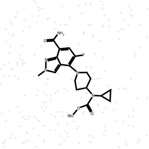 Cn1cc2c(N3CCC(N(C(=O)OC(C)(C)C)C4CC4)CC3)c(F)cc(C(N)=O)c2n1